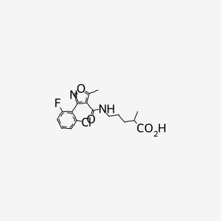 Cc1onc(-c2c(F)cccc2Cl)c1C(=O)NCCCC(C)C(=O)O